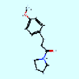 COc1ccc(CCC(=O)N2CCCC2)cc1